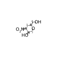 O=[N+]([O-])[C@H]1C[C@@H](CO)OC[C@@H]1O